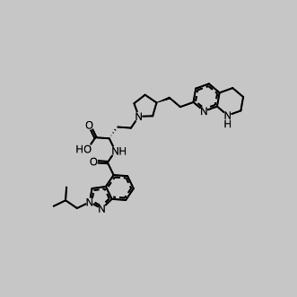 CC(C)Cn1cc2c(C(=O)N[C@@H](CCN3CC[C@@H](CCc4ccc5c(n4)NCCC5)C3)C(=O)O)cccc2n1